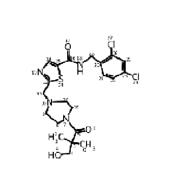 CC(C)(CO)C(=O)N1CCN(Cc2ncc(C(=O)NCc3ccc(Cl)cc3Cl)s2)CC1